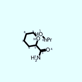 CCCO.NC(=O)C1CCCCO1